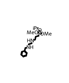 CO[Si](CCCNCCNCc1ccccc1)(OC)OC(C)C